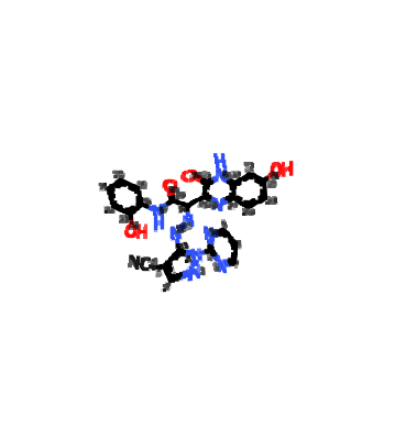 N#Cc1cnn(-c2ncccn2)c1N=NC(C(=O)Nc1ccccc1O)c1nc2ccc(O)cc2[nH]c1=O